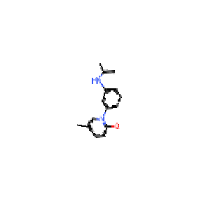 C=C(C)Nc1cccc(-n2cc(C)ccc2=O)c1